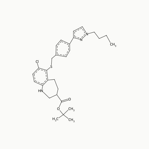 CCCCn1ccc(-c2ccc(CSc3c(Cl)ccc4c3CCC(C(=O)OC(C)(C)C)CN4)cc2)n1